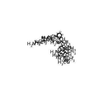 CC(C)CN.CC(C)N.CC1CCCCN1.CCC(C)CN.CCC(C)N.CCCCCCN.CCCCCN.CCCN.CCN.C[N+](C)(C)[O-]